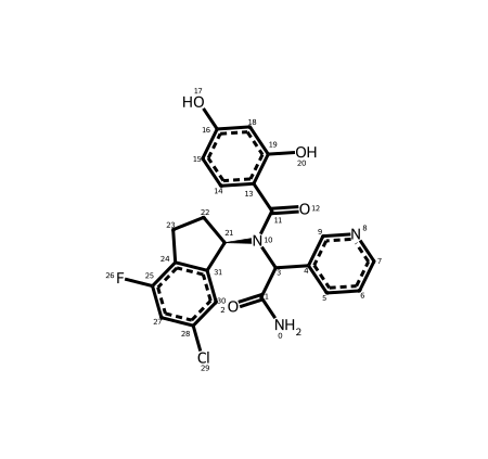 NC(=O)C(c1cccnc1)N(C(=O)c1ccc(O)cc1O)[C@@H]1CCc2c(F)cc(Cl)cc21